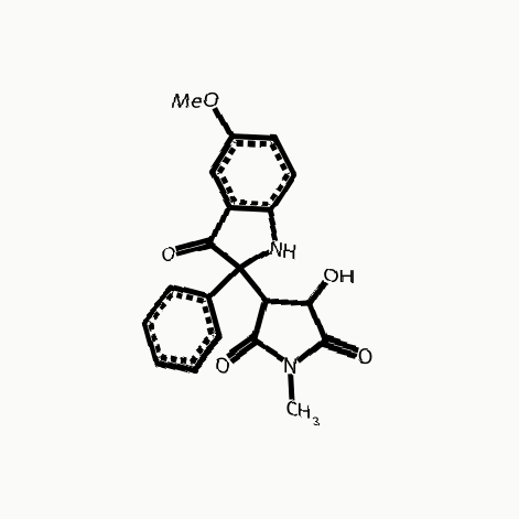 COc1ccc2c(c1)C(=O)C(c1ccccc1)(C1C(=O)N(C)C(=O)C1O)N2